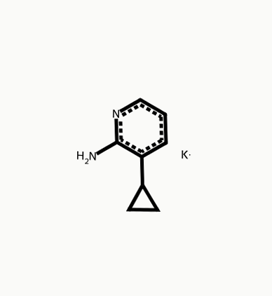 Nc1ncccc1C1CC1.[K]